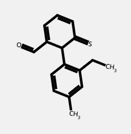 CCc1cc(C)ccc1C1C(=S)C=CC=C1C=O